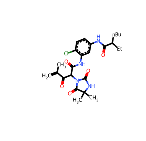 C=C(C)C(=O)C(C(=O)Nc1cc(NC(=O)C(CC)CCCC)ccc1Cl)N1C(=O)NC(C)(C)C1=O